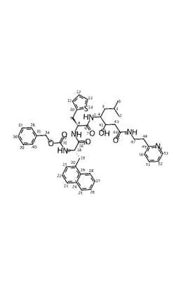 CC(C)CC(NC(=O)[C@H](Cc1cccs1)NC(=O)[C@H](Cc1cccc2ccccc12)NC(=O)OCc1ccccc1)C(O)CC(=O)NCCc1ccccn1